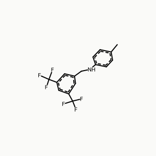 Cc1ccc(NCc2cc(C(F)(F)F)cc(C(F)(F)F)c2)cc1